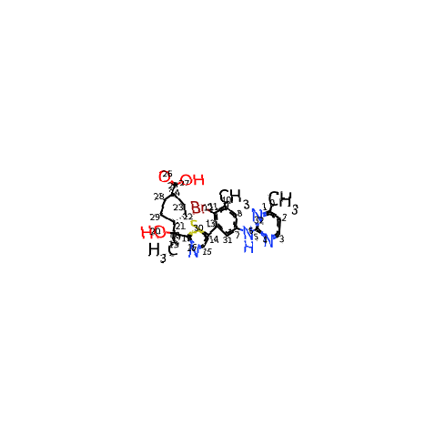 Cc1ccnc(Nc2cc(C)c(Br)c(-c3cnc([C@](C)(O)[C@H]4CC[C@H](C(=O)O)CC4)s3)c2)n1